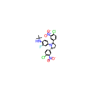 CC(C)(C)Nc1ccc(N2[C@@H](c3ccc(Cl)c([N+](=O)[O-])c3)CC[C@@H]2c2ccc(Cl)c([N+](=O)[O-])c2)cc1F